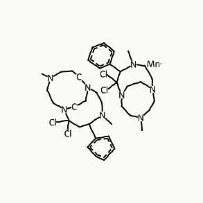 CN1CCCN2CCN(C)C(c3ccccc3)CC(Cl)(Cl)N(CC1)CC2.CN1CCN2CCN(C)C(c3ccccc3)C(Cl)(Cl)N(CC1)CC2.[Mn]